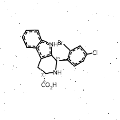 O=C(O)[C@@H]1Cc2c([nH]c3ccccc23)[C@@H](c2ccc(Cl)cc2Br)N1